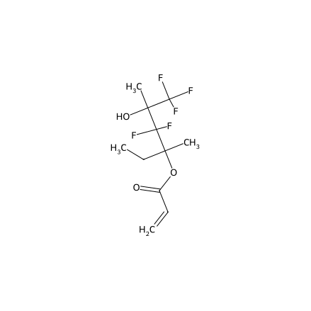 C=CC(=O)OC(C)(CC)C(F)(F)C(C)(O)C(F)(F)F